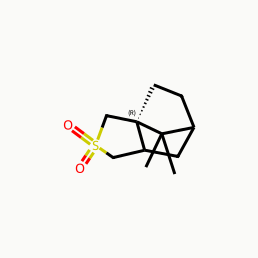 CC1(C)C2CC[C@]13CS(=O)(=O)CC3C2